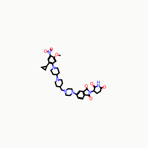 COc1cc(N2CCC(N3CCC(CN4CCN(c5ccc6c(c5)C(=O)N(C5CCC(=O)NC5=O)C6=O)CC4)CC3)CC2)c(C2CC2)cc1[N+](=O)[O-]